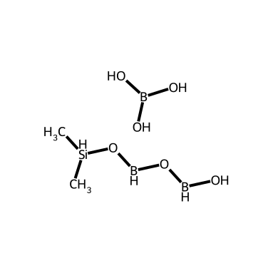 C[SiH](C)OBOBO.OB(O)O